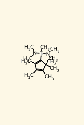 CC1=C(C)C(C)(C)[C]([Ti]([CH3])([N](C)C)[N](C)C)=C1C